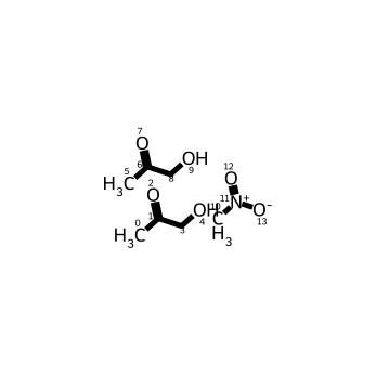 CC(=O)CO.CC(=O)CO.C[N+](=O)[O-]